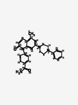 Cc1nc(N2CCN(c3ccccn3)CC2)nc2c1ccc(=O)n2-c1ccc(C(N)=O)cc1